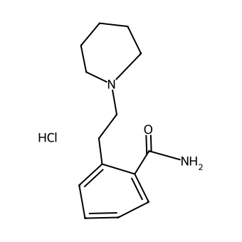 Cl.NC(=O)c1ccccc1CCN1CCCCC1